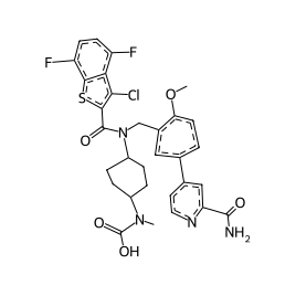 COc1ccc(-c2ccnc(C(N)=O)c2)cc1CN(C(=O)c1sc2c(F)ccc(F)c2c1Cl)C1CCC(N(C)C(=O)O)CC1